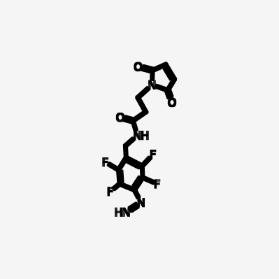 N=Nc1c(F)c(F)c(CNC(=O)CCN2C(=O)C=CC2=O)c(F)c1F